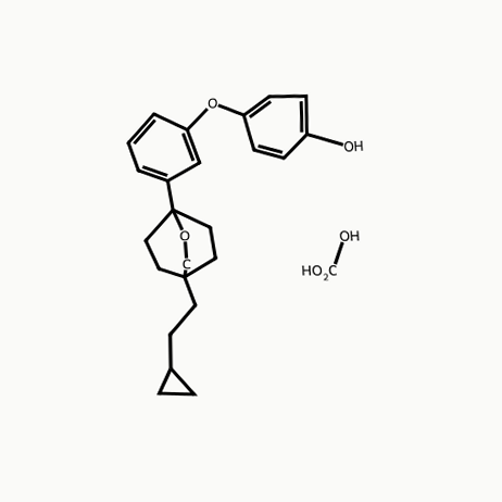 O=C(O)O.Oc1ccc(Oc2cccc(C34CCC(CCC5CC5)(CC3)CO4)c2)cc1